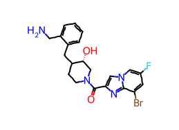 NCc1ccccc1CC1CCN(C(=O)c2cn3cc(F)cc(Br)c3n2)C[C@H]1O